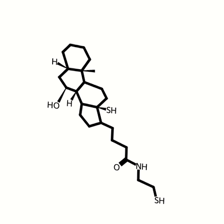 C[C@]12CCCC[C@H]1C[C@H](O)[C@H]1C3CCC(CCCC(=O)NCCS)[C@@]3(S)CCC12